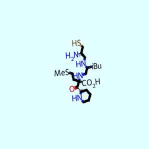 CCC(C)C(CNC(CCSC)(C(=O)O)C(=O)[C@@H]1CCCCN1)NC[C@H](N)CS